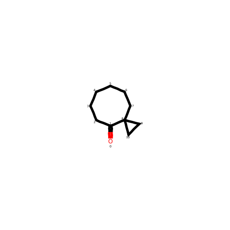 O=C1CCCCCCC12CC2